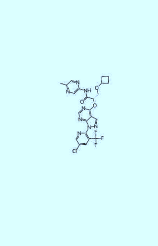 Cc1cnc(NC(=O)[C@H](COC2CCC2)Oc2ncnc3c2cnn3-c2ncc(Cl)cc2C(F)(F)F)cn1